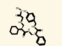 CC(C)(C)OC(=O)CNC[C@@H](C(=O)NC[C@H](C(=O)NCc1ccc(C#N)cc1)c1ccccc1)C1CCCCC1